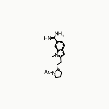 CC(=O)N1CCC[C@H]1CCc1cc2ccc(C(=N)N)cc2n1C